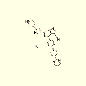 Cl.N#Cc1cnn2cc(-c3cnn(C4CCNCC4)c3)nc(-c3ccc(N4CCC(c5ncccn5)CC4)nc3)c12